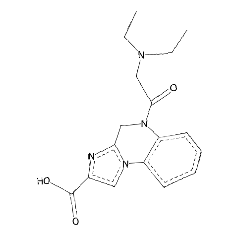 CCN(CC)CC(=O)N1Cc2nc(C(=O)O)cn2-c2ccccc21